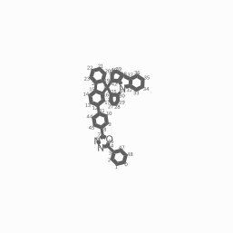 c1ccc(-c2nnc(-c3ccc(-c4ccc5c(c4)C4(c6ccccc6-5)c5ccccc5-n5c6ccccc6c6cccc4c65)cc3)o2)cc1